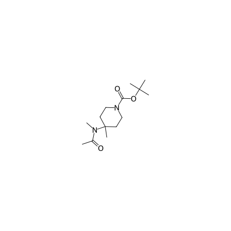 CC(=O)N(C)C1(C)CCN(C(=O)OC(C)(C)C)CC1